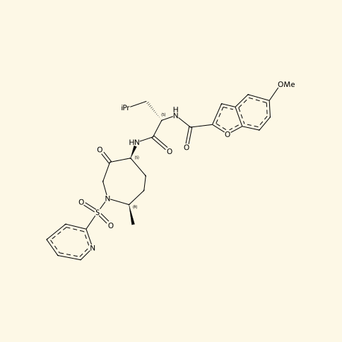 COc1ccc2oc(C(=O)N[C@@H](CC(C)C)C(=O)N[C@H]3CC[C@@H](C)N(S(=O)(=O)c4ccccn4)CC3=O)cc2c1